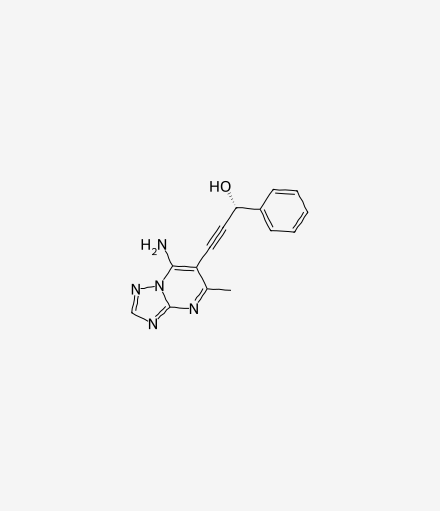 Cc1nc2ncnn2c(N)c1C#C[C@H](O)c1ccccc1